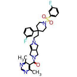 Cc1ncnc(C)c1C(=O)N1CC2=CN(CCC3(c4cccc(F)c4)CCN(S(=O)(=O)c4cccc(F)c4)CC3)CC2C1